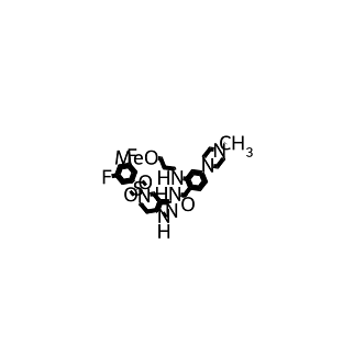 COCCCNc1cc(N2CCN(C)CC2)ccc1C(=O)Nc1n[nH]c2c1CN(S(=O)(=O)c1cc(F)cc(F)c1)CC2